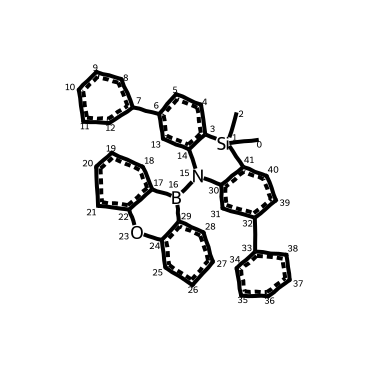 C[Si]1(C)c2ccc(-c3ccccc3)cc2N(B2c3ccccc3Oc3ccccc32)c2cc(-c3ccccc3)ccc21